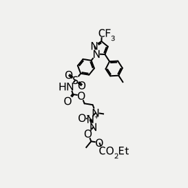 CCOC(=O)OC(C)ON=[N+]([O-])N(C)CCOC(=O)NS(=O)(=O)c1ccc(-n2nc(C(F)(F)F)cc2-c2ccc(C)cc2)cc1